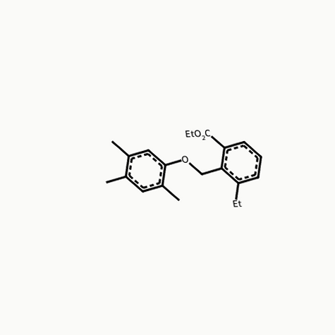 CCOC(=O)c1cccc(CC)c1COc1cc(C)c(C)cc1C